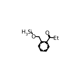 CCC(=O)c1ccccc1CO[SiH3]